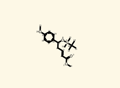 COC(=O)/C=C/CC(O[Si](C)(C)C(C)(C)C)c1ccc(OC)cc1